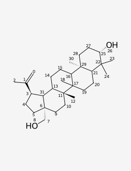 C=C(C)[C@@H]1CC[C@]2(CO)CC[C@]3(C)C(CCC4C3(C)CCC3C(C)(C)[C@@H](O)CC[C@@]34C)C12